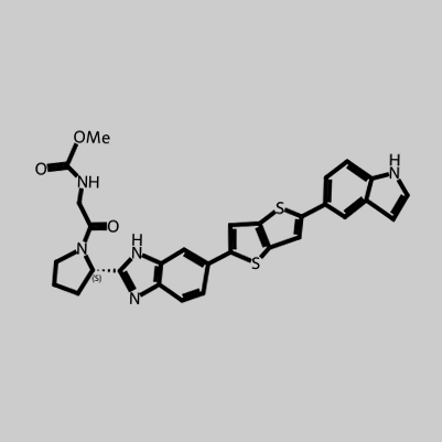 COC(=O)NCC(=O)N1CCC[C@H]1c1nc2ccc(-c3cc4sc(-c5ccc6[nH]ccc6c5)cc4s3)cc2[nH]1